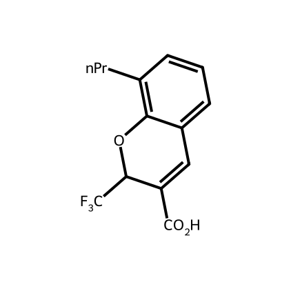 CCCc1cccc2c1OC(C(F)(F)F)C(C(=O)O)=C2